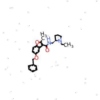 CCN1CCC[C@@H]1CNC(=O)c1c(C)oc2ccc(OCc3ccccc3)cc12